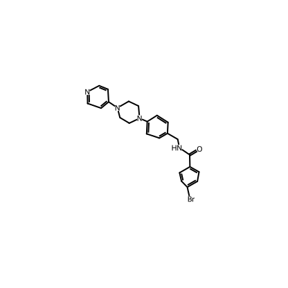 O=C(NCc1ccc(N2CCN(c3ccncc3)CC2)cc1)c1ccc(Br)cc1